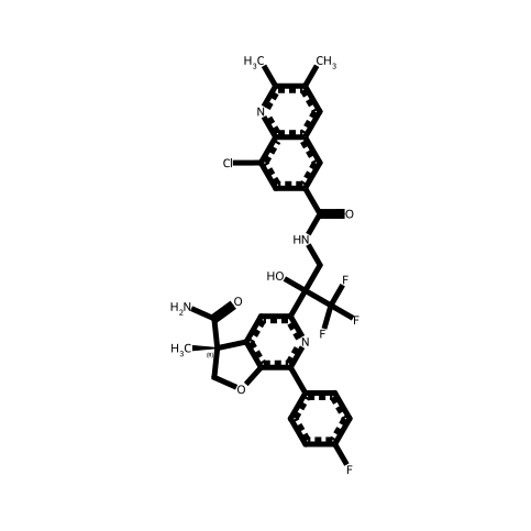 Cc1cc2cc(C(=O)NCC(O)(c3cc4c(c(-c5ccc(F)cc5)n3)OC[C@]4(C)C(N)=O)C(F)(F)F)cc(Cl)c2nc1C